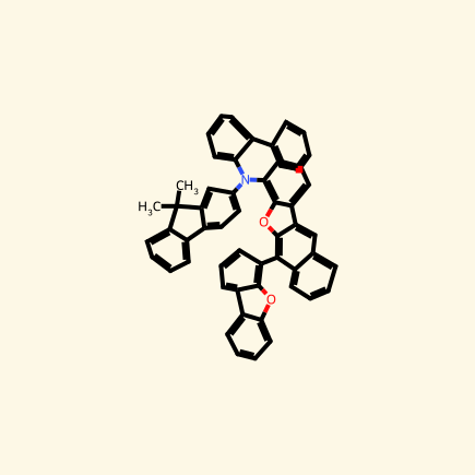 CC1(C)c2ccccc2-c2ccc(N(c3ccccc3-c3ccccc3)c3cccc4c3oc3c(-c5cccc6c5oc5ccccc56)c5ccccc5cc34)cc21